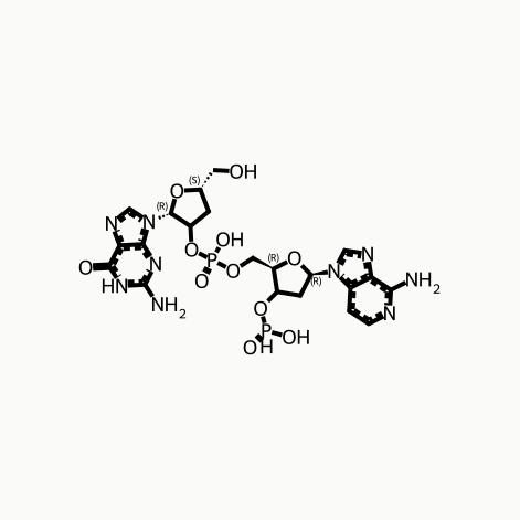 Nc1nc2c(ncn2[C@@H]2O[C@H](CO)CC2OP(=O)(O)OC[C@H]2O[C@@H](n3cnc4c(N)nccc43)CC2O[PH](=O)O)c(=O)[nH]1